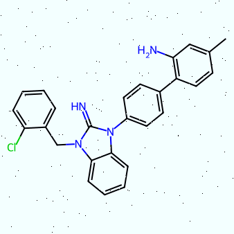 Cc1ccc(-c2ccc(-n3c(=N)n(Cc4ccccc4Cl)c4ccccc43)cc2)c(N)c1